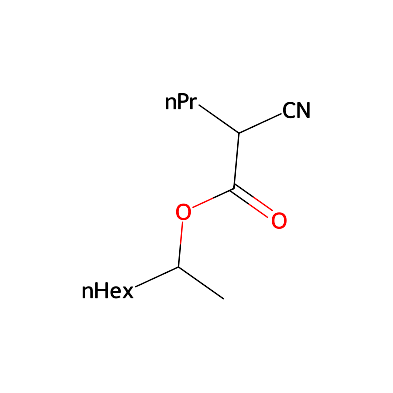 CCCCCCC(C)OC(=O)C(C#N)CCC